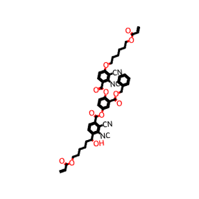 [C-]#[N+]c1c(C(=O)Oc2ccc(OC(=O)c3ccc(C(O)CCCCCOC(=O)C=C)c([N+]#[C-])c3C#N)cc2C(=O)OCc2ccccc2)ccc(OCCCCCCOC(=O)C=C)c1C#N